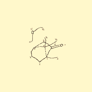 CC12CCC(CC1=O)C2(C)C.COC